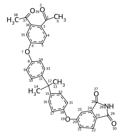 CC(=O)c1ccc(Oc2ccc(C(C)(C)c3ccc(Oc4ccc5c(c4)C(=O)NC5=O)cc3)cc2)cc1C(C)=O